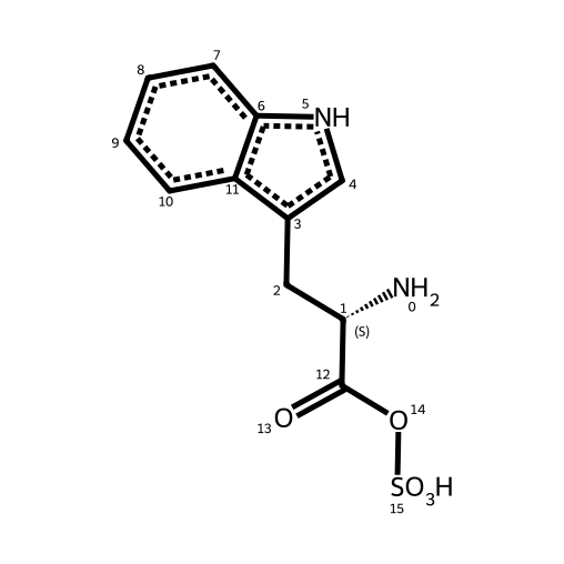 N[C@@H](Cc1c[nH]c2ccccc12)C(=O)OS(=O)(=O)O